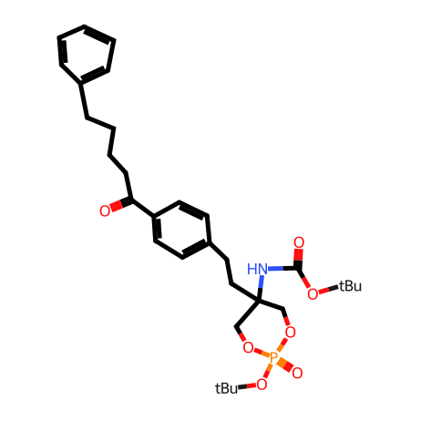 CC(C)(C)OC(=O)NC1(CCc2ccc(C(=O)CCCCc3ccccc3)cc2)COP(=O)(OC(C)(C)C)OC1